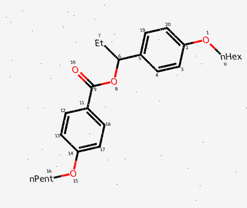 CCCCCCOc1ccc(C(CC)OC(=O)c2ccc(OCCCCC)cc2)cc1